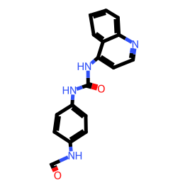 O=CNc1ccc(NC(=O)Nc2ccnc3ccccc23)cc1